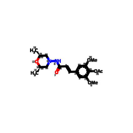 COc1cc(C=CC(=O)NN2C[C@@H](C)O[C@@H](C)C2)cc(OC)c1OC(C)=O